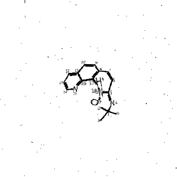 CC(C)(C)N=C1C=Cc2ccc3cccnc3c2[NH+]1[O-]